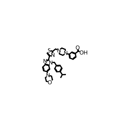 CC(C)c1ccc(Cn2c(-c3csc(CN4CCN(c5cccc(C(=O)O)c5)CC4)n3)nc3ccc(N4CCOCC4)cc32)cc1